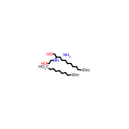 CCCCCCCCCCCCCCCCCC(=O)O.CCCCCCCCCCCCCCCCCCC(CO)NCCO.N